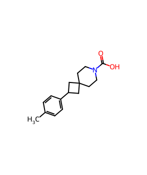 Cc1ccc(C2CC3(CCN(C(=O)O)CC3)C2)cc1